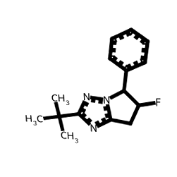 CC(C)(C)c1nc2n(n1)C(c1ccccc1)C(F)C2